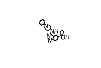 O=C(O)c1ccc2ncnc(NC3CCN(c4ccccc4)CC3)c2c1